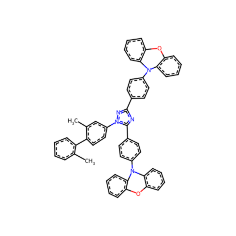 Cc1ccccc1-c1ccc(-n2nc(-c3ccc(N4c5ccccc5Oc5ccccc54)cc3)nc2-c2ccc(N3c4ccccc4Oc4ccccc43)cc2)cc1C